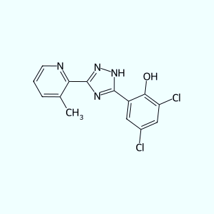 Cc1cccnc1-c1n[nH]c(-c2cc(Cl)cc(Cl)c2O)n1